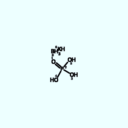 B.O=P(O)(O)O.[KH]